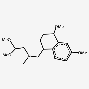 COc1ccc2c(c1)C(OC)CCC2CN(C)CC(OC)OC